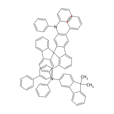 CC1(C)c2ccccc2-c2cc(N(c3ccccc3)c3ccc4c(c3)C3(c5ccccc5-4)c4cc(N(c5ccccc5)c5ccccc5)c(-c5ccccc5)cc4-c4cccc(-c5ccc(-c6ccccc6)cc5)c43)ccc21